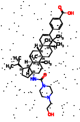 CC(C)[C@@H]1CC[C@]2(NC(=O)N3CCN(CCO)CC3)CC[C@]3(C)[C@H](CC[C@@H]4[C@@]5(C)CC=C(c6ccc(C(=O)O)cc6)C(C)(C)[C@@H]5CC[C@]43C)[C@@H]12